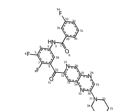 O=C(Nc1cc(F)c(F)c(C(=O)c2cc3nc(N4CCOCC4)cnc3cn2)c1)c1cccc(F)c1